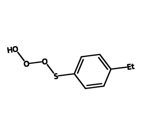 CCc1ccc(SOOO)cc1